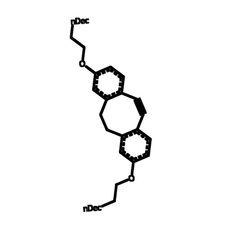 CCCCCCCCCCCCOc1ccc2c(c1)CCc1cc(OCCCCCCCCCCCC)ccc1C#C2